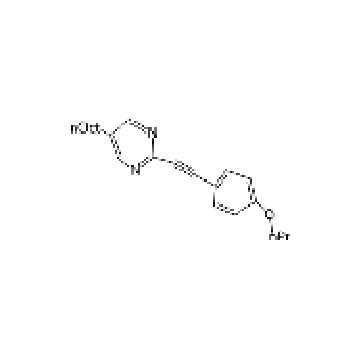 CCCCCCCCc1cnc(C#Cc2ccc(OCCC)cc2)nc1